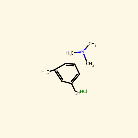 CN(C)C.Cc1cccc(C)c1.Cl